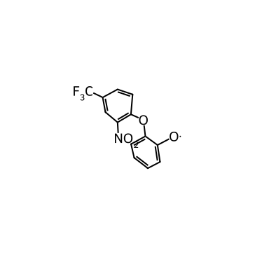 [O]c1ccccc1Oc1ccc(C(F)(F)F)cc1[N+](=O)[O-]